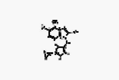 CCCc1cc2c(C(F)(F)F)c(C#N)ccc2n1Cc1nnc(C2CC2)s1